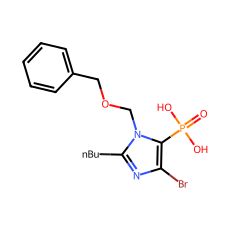 CCCCc1nc(Br)c(P(=O)(O)O)n1COCc1ccccc1